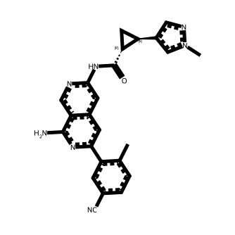 Cc1ccc(C#N)cc1-c1cc2cc(NC(=O)[C@@H]3C[C@H]3c3cnn(C)c3)ncc2c(N)n1